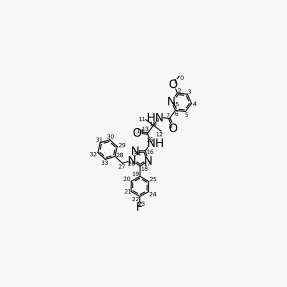 COc1cccc(C(=O)NC(C)(C)C(=O)Nc2nc(-c3ccc(F)cc3)n(Cc3ccccc3)n2)n1